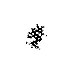 Cc1cc(-c2ccc(F)c3cc(C4CCCN4c4nc(N)nc(N)c4C#N)c(N4CCOCC4)nc23)cn(C)c1=O